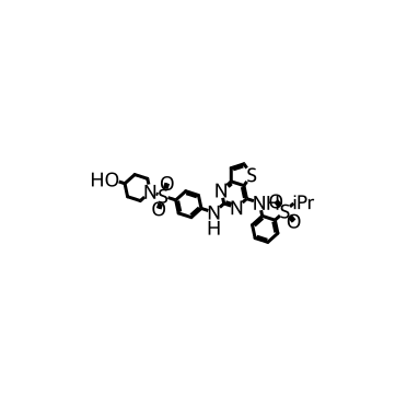 CC(C)S(=O)(=O)c1ccccc1Nc1nc(Nc2ccc(S(=O)(=O)N3CCC(O)CC3)cc2)nc2ccsc12